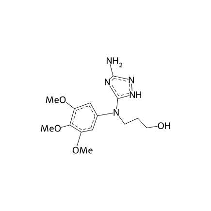 COc1cc(N(CCCO)c2nc(N)n[nH]2)cc(OC)c1OC